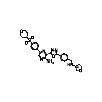 Nc1ncc(-c2ccc(S(=O)(=O)C3CCOCC3)cc2)nc1-c1nnc(-c2ccc(CN[C@H]3CCOC3)cc2)o1